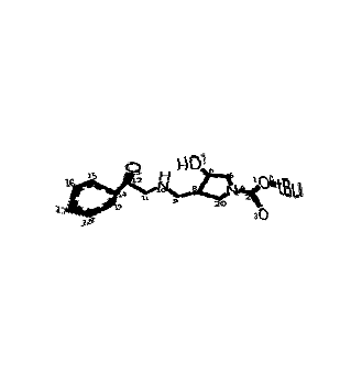 CC(C)(C)OC(=O)N1CC(O)C(CNCC(=O)c2ccccc2)C1